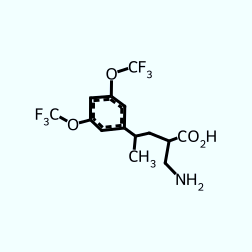 CC(CC(CN)C(=O)O)c1cc(OC(F)(F)F)cc(OC(F)(F)F)c1